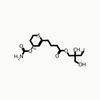 CC(CO)(CI)COC(=O)CCCC1=C[C@@H](OC(N)=O)CCS1